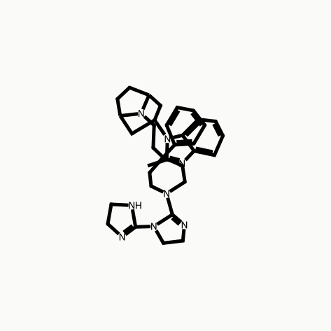 Cc1nc2ccccc2n1C1CC2CCC(C1)N2CCC1(c2ccccc2)CCN(C2=NCCN2C2=NCCN2)CC1